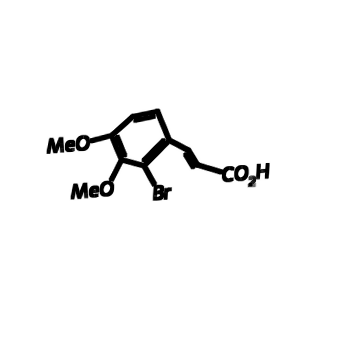 COc1ccc(C=CC(=O)O)c(Br)c1OC